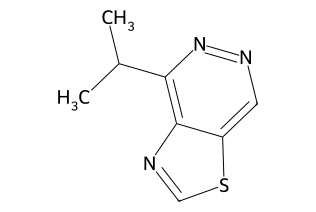 CC(C)c1nncc2scnc12